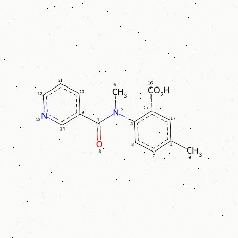 Cc1ccc(N(C)C(=O)c2cccnc2)c(C(=O)O)c1